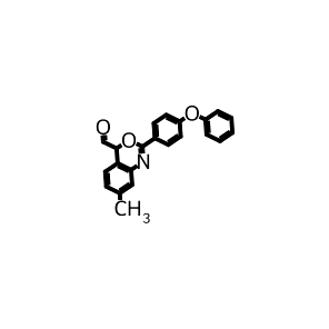 Cc1ccc2c(c1)N=C(c1ccc(Oc3ccccc3)cc1)OC2C=O